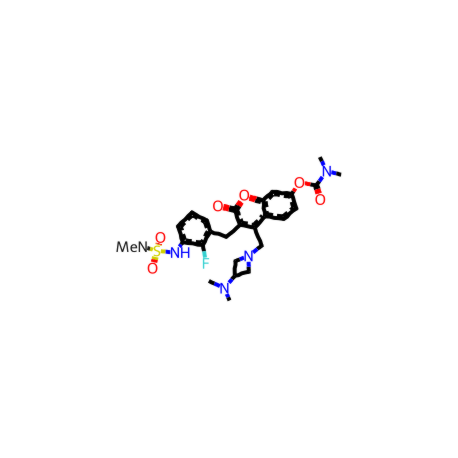 CNS(=O)(=O)Nc1cccc(Cc2c(CN3CC(N(C)C)C3)c3ccc(OC(=O)N(C)C)cc3oc2=O)c1F